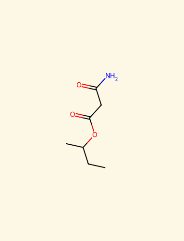 CCC(C)OC(=O)CC(N)=O